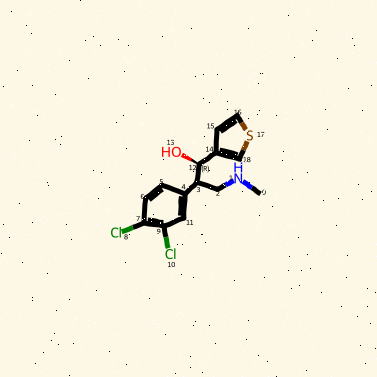 CNCC(c1ccc(Cl)c(Cl)c1)[C@@H](O)c1ccsc1